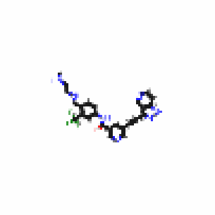 CNCCNCc1ccc(NC(=O)c2cncc(C#Cc3n[nH]c4ccncc34)c2)cc1C(F)(F)F